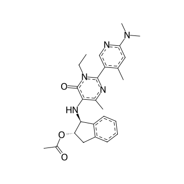 CCn1c(-c2cnc(N(C)C)cc2C)nc(C)c(N[C@H]2c3ccccc3C[C@@H]2OC(C)=O)c1=O